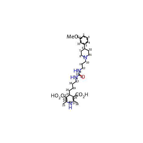 COc1cccc(C2CCN(CCCNC(=O)NCCCCC3C(C(=O)O)=C(C)NC(C)=C3C(=O)O)CC2)c1